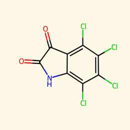 O=C1Nc2c(Cl)c(Cl)c(Cl)c(Cl)c2C1=O